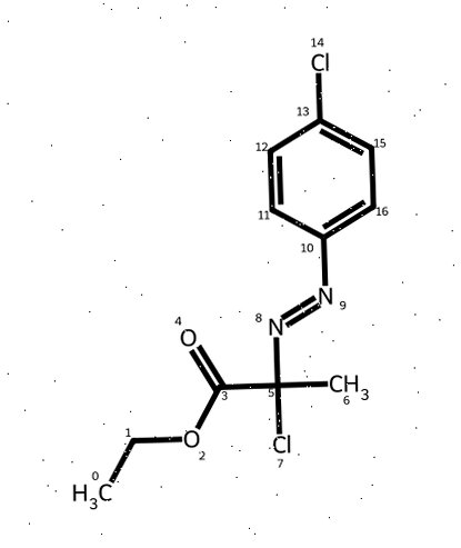 CCOC(=O)C(C)(Cl)/N=N/c1ccc(Cl)cc1